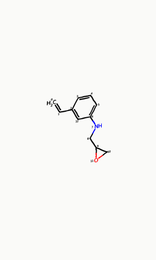 C=Cc1cccc(NCC2CO2)c1